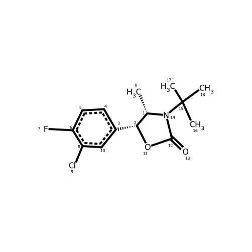 C[C@H]1[C@@H](c2ccc(F)c(Cl)c2)OC(=O)N1C(C)(C)C